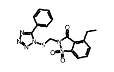 CCc1cccc2c1C(=O)N(CSn1nnnc1-c1ccccc1)S2(=O)=O